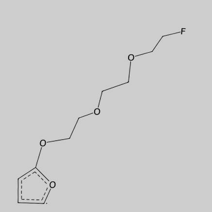 FCCOCCOCCOc1cc[c]o1